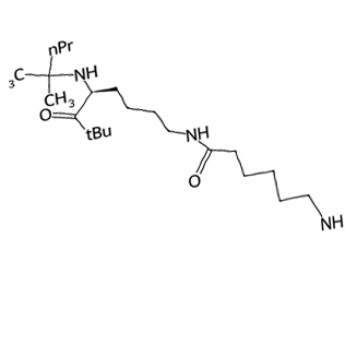 CCCC(C)(C)N[C@@H](CCCCNC(=O)CCCCCN)C(=O)C(C)(C)C